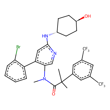 CN(C(=O)C(C)(C)c1cc(C(F)(F)F)cc(C(F)(F)F)c1)c1cnc(N[C@H]2CC[C@H](O)CC2)cc1-c1ccccc1Br